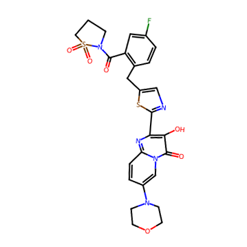 O=C(c1cc(F)ccc1Cc1cnc(-c2nc3ccc(N4CCOCC4)cn3c(=O)c2O)s1)N1CCCS1(=O)=O